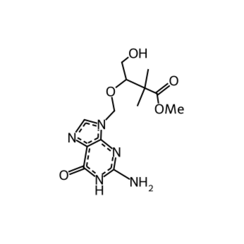 COC(=O)C(C)(C)C(CO)OCn1cnc2c(=O)[nH]c(N)nc21